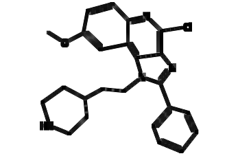 COc1ccc2nc(Cl)c3nc(-c4ccccc4)n(CCC4CCNCC4)c3c2c1